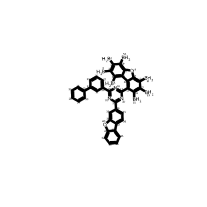 Bc1c(B)c(B)c2c(oc3c(B)c(B)c(B)c(-c4nc(-c5cccc(-c6ccccc6)c5)nc(-c5ccc6c(c5)oc5ccccc56)n4)c32)c1B